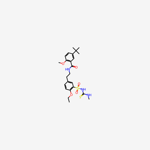 CCOc1ccc(CCNC(=O)c2cc(C(C)(C)C)ccc2OC)cc1S(=O)(=O)NC(=S)NC